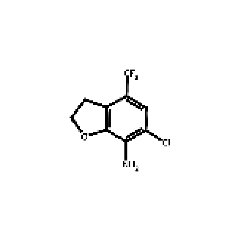 Nc1c(Cl)cc(C(F)(F)F)c2c1OCC2